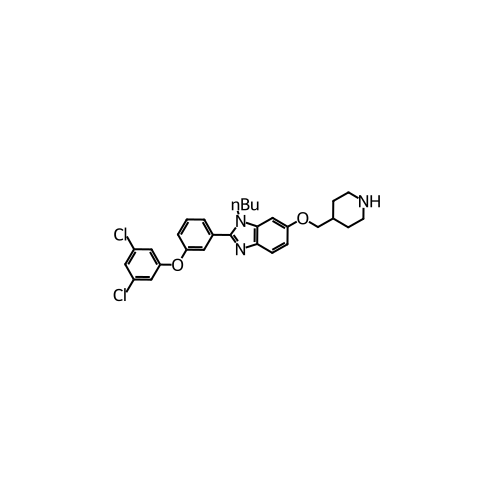 CCCCn1c(-c2cccc(Oc3cc(Cl)cc(Cl)c3)c2)nc2ccc(OCC3CCNCC3)cc21